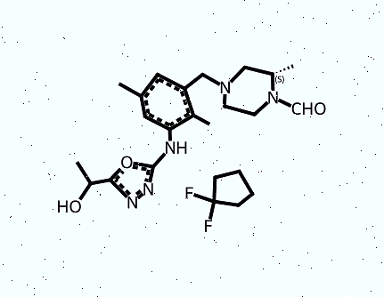 Cc1cc(CN2CCN(C=O)[C@@H](C)C2)c(C)c(Nc2nnc(C(C)O)o2)c1.FC1(F)CCCC1